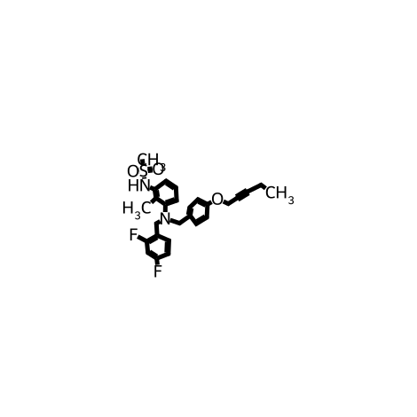 CCC#CCOc1ccc(CN(Cc2ccc(F)cc2F)c2cccc(NS(C)(=O)=O)c2C)cc1